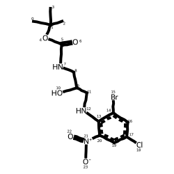 CC(C)(C)OC(=O)NCC(O)CNc1c(Br)cc(Cl)cc1[N+](=O)[O-]